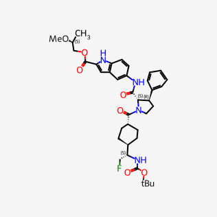 CO[C@@H](C)COC(=O)c1cc2cc(NC(=O)[C@@H]3[C@@H](c4ccccc4)CCN3C(=O)[C@H]3CC[C@H]([C@@H](CF)NC(=O)OC(C)(C)C)CC3)ccc2[nH]1